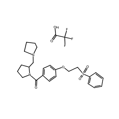 O=C(O)C(F)(F)F.O=C(c1ccc(OCCS(=O)(=O)c2ccccc2)cc1)N1CCCC1CN1CCCC1